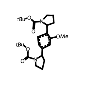 COc1cc(C2CCCN2C(=O)OC(C)(C)C)ccc1C1CCCN1C(=O)OC(C)(C)C